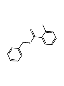 Cc1ccccc1C(=O)OCc1[c]cccc1